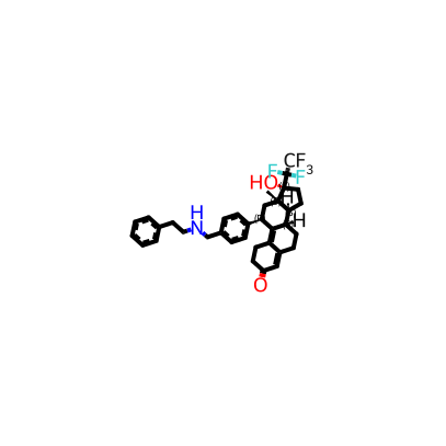 C[C@]12C[C@H](c3ccc(CNCCc4ccccc4)cc3)C3=C4CCC(=O)C=C4CC[C@H]3[C@@H]1CC[C@@]2(O)C(F)(F)C(F)(F)F